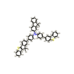 CC1(C)c2ccccc2-c2ccc(N(c3ccc(-c4ccc5c(c4)C(C)(C)c4c-5sc5ccccc45)cc3)c3ccc(-c4ccc5sc6ccccc6c5c4)cc3)cc21